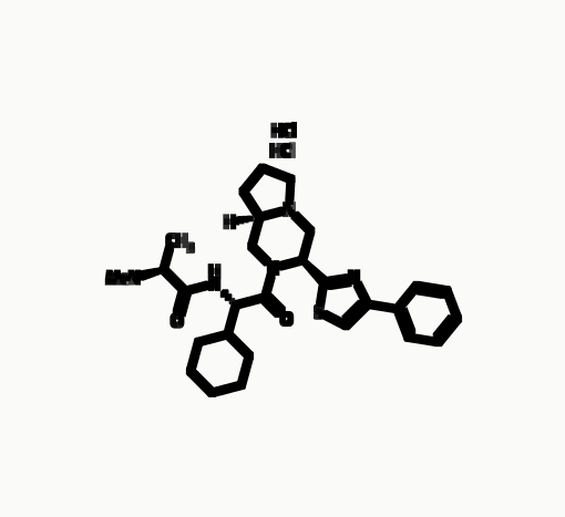 CN[C@@H](C)C(=O)N[C@H](C(=O)N1C[C@H]2CCCN2C[C@H]1c1nc(-c2ccccc2)cs1)C1CCCCC1.Cl.Cl